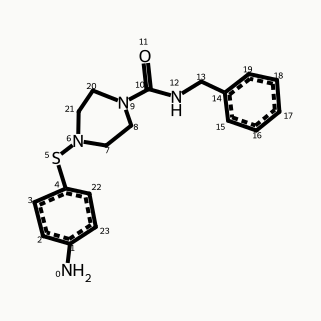 Nc1ccc(SN2CCN(C(=O)NCc3ccccc3)CC2)cc1